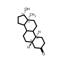 C[C@]12CCC3C(CC[C@H]4CC(=O)CC[C@H]34)C1CC[C@@H]2O